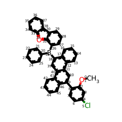 COc1cc(Cl)ccc1-c1cc2c3ccccc3c(B(c3ccccc3)c3cccc4c3oc3ccccc34)cc2c2ccccc12